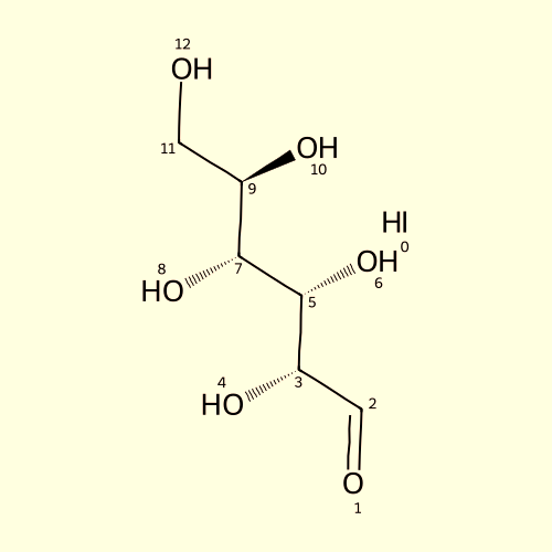 I.O=C[C@H](O)[C@@H](O)[C@H](O)[C@H](O)CO